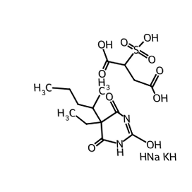 CCCC(C)C1(CC)C(=O)N=C(O)NC1=O.O=C(O)CC(C(=O)O)S(=O)(=O)O.[KH].[NaH]